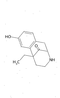 CCC12CCNC(Cc3ccc(O)cc31)C2=O